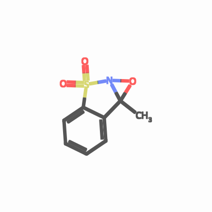 CC12ON1S(=O)(=O)c1ccccc12